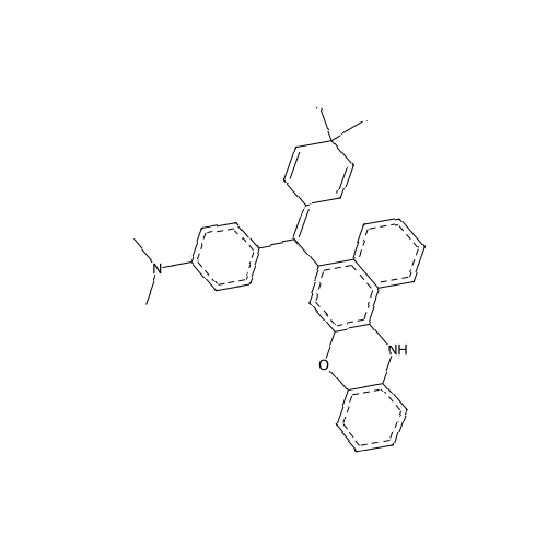 [CH2]C1([CH2])C=CC(=C(c2ccc(N(C)C)cc2)c2cc3c(c4ccccc24)Nc2ccccc2O3)C=C1